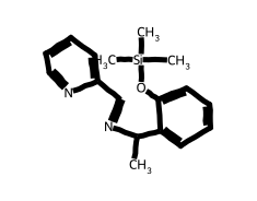 CC(N=Cc1ccccn1)c1ccccc1O[Si](C)(C)C